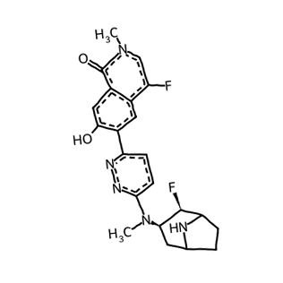 CN(c1ccc(-c2cc3c(F)cn(C)c(=O)c3cc2O)nn1)[C@@H]1CC2CCC(N2)[C@@H]1F